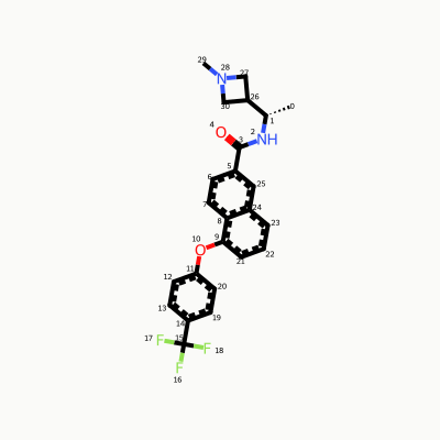 C[C@H](NC(=O)c1ccc2c(Oc3ccc(C(F)(F)F)cc3)cccc2c1)C1CN(C)C1